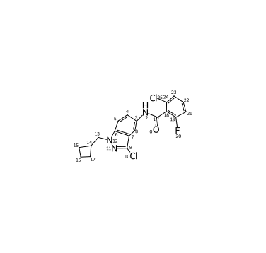 O=C(Nc1ccc2c(c1)c(Cl)nn2CC1CCC1)c1c(F)cccc1Cl